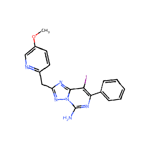 COc1ccc(Cc2nc3c(I)c(-c4ccccc4)nc(N)n3n2)nc1